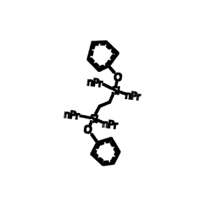 CCC[Si](CCC)(CC[Si](CCC)(CCC)Oc1ccccc1)Oc1ccccc1